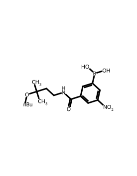 CCCCOC(C)(C)CCNC(=O)c1cc(B(O)O)cc([N+](=O)[O-])c1